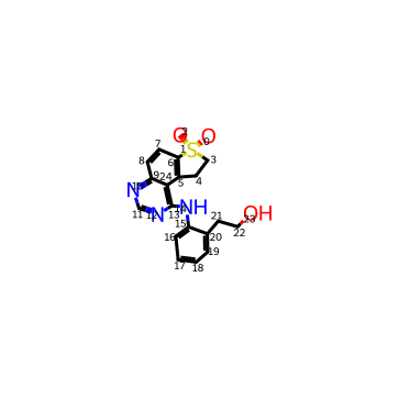 O=S1(=O)CCc2c1ccc1ncnc(Nc3ccccc3CCO)c21